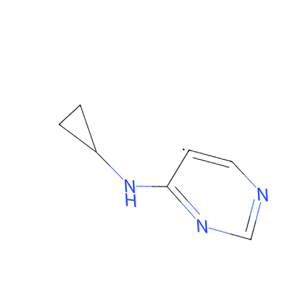 [c]1cncnc1NC1CC1